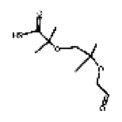 CC(C)(COC(C)(C)C(=O)S)OCC=O